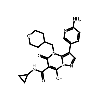 Nc1ccc(-c2cnn3c(O)c(C(=O)NC4CC4)c(=O)n(CC4CCOCC4)c23)cn1